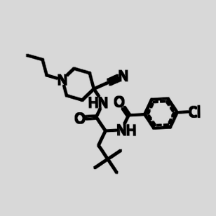 CCCN1CCC(C#N)(NC(=O)C(CC(C)(C)C)NC(=O)c2ccc(Cl)cc2)CC1